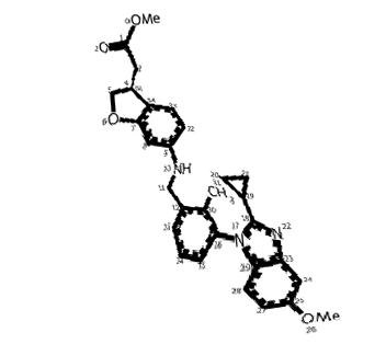 COC(=O)C[C@@H]1COc2cc(NCc3cccc(-n4c(C5CC5)nc5cc(OC)ccc54)c3C)ccc21